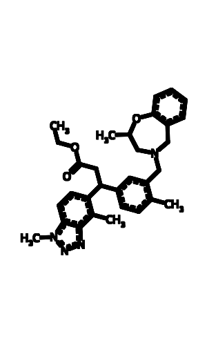 CCOC(=O)CC(c1ccc(C)c(CN2Cc3ccccc3OC(C)C2)c1)c1ccc2c(nnn2C)c1C